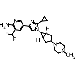 CN1CCN(C2C[C@@H]3[C@H](C2)[C@H]3n2cc(-c3cnc(N)c(C(F)F)c3)nc2C2CC2)CC1